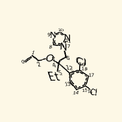 C=CCOC(CC)(Cn1cncn1)c1ccc(Cl)cc1Cl